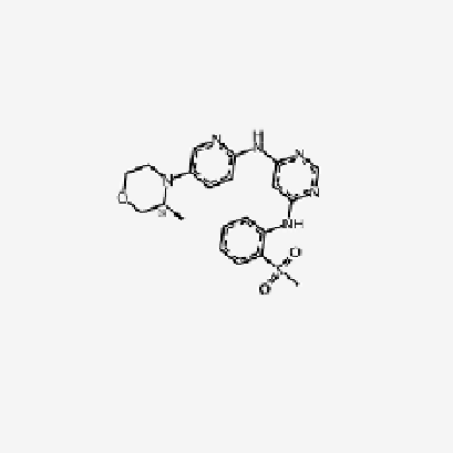 C[C@H]1COCCN1c1ccc(Nc2cc(Nc3ccccc3S(C)(=O)=O)ncn2)nc1